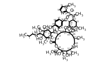 CCCNC[C@@]1(O)[C@@H](C)OC(O[C@H]2[C@H](C)[C@@H](O[C@@H]3O[C@H](C)C[C@H](N(C)S(=O)(=O)c4nccn4C)[C@H]3Oc3ccc(Cl)cc3)[C@](C)(O)C[C@@H](C)CN[C@H](C)[C@@H](O)[C@](C)(O)[C@@H](CC)OC(=O)[C@@H]2C)C[C@]1(C)OC